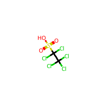 O=S(=O)(O)C(Cl)(Cl)C(Cl)(Cl)Cl